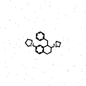 c1ccc(CC2c3cc(N4CCCC4)ccc3CCC2N2CCC2)cc1